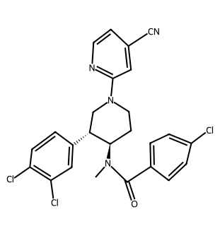 CN(C(=O)c1ccc(Cl)cc1)[C@@H]1CCN(c2cc(C#N)ccn2)C[C@H]1c1ccc(Cl)c(Cl)c1